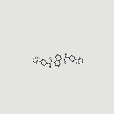 O=C(Nc1ccc(C2=NCCN2)cc1)c1cccc2c(C(=O)Nc3ccc(C4=NCCN4)cc3)cccc12